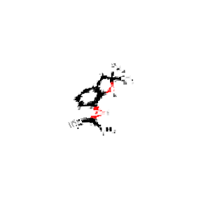 C=C(C)Oc1cccc2c1OC(C)(C)C2